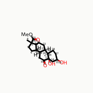 COC(=O)C1(C)CC[C@H]2[C@@H]3CC(=O)C4(O)CC(O)CC[C@]4(C)[C@@H]3CC[C@@]21C